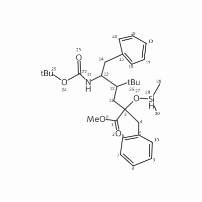 COC(=O)C(Cc1ccccc1)(CC(C(Cc1ccccc1)NC(=O)OC(C)(C)C)C(C)(C)C)O[SiH](C)C